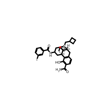 NC(=O)c1ccc2c(c1O)[C@]13CCN(CC4CCC4)[C@H](C2)[C@]1(O)CCC(NC(=O)c1cccc(I)c1)C3